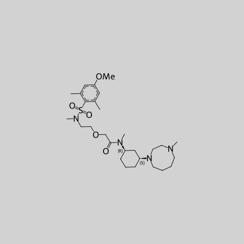 COc1cc(C)c(S(=O)(=O)N(C)CCOCC(=O)N(C)[C@@H]2CCC[C@H](N3CCCCN(C)CC3)C2)c(C)c1